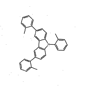 Cc1ccccc1-c1ccc2c(c1)c1cc(-c3ccccc3C)ccc1n2-c1ccccc1C